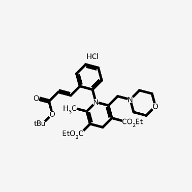 CCOC(=O)C1=C(C)N(c2ccccc2C=CC(=O)OC(C)(C)C)C(CN2CCOCC2)=C(C(=O)OCC)C1.Cl